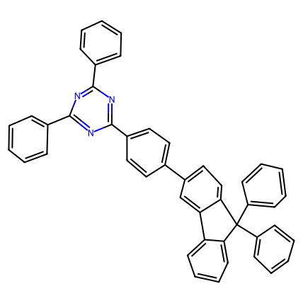 c1ccc(-c2nc(-c3ccccc3)nc(-c3ccc(-c4ccc5c(c4)-c4ccccc4C5(c4ccccc4)c4ccccc4)cc3)n2)cc1